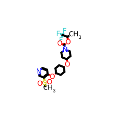 CC(OC(=O)N1CCC(O[C@H]2CC[C@H](Oc3ccncc3S(C)(=O)=O)CC2)CC1)C(F)(F)F